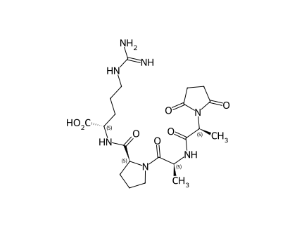 C[C@H](NC(=O)[C@H](C)N1C(=O)CCC1=O)C(=O)N1CCC[C@H]1C(=O)N[C@@H](CCCNC(=N)N)C(=O)O